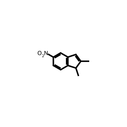 CC1=Cc2cc([N+](=O)[O-])ccc2C1C